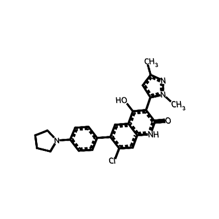 Cc1cc(-c2c(O)c3cc(-c4ccc(N5CCCC5)cc4)c(Cl)cc3[nH]c2=O)n(C)n1